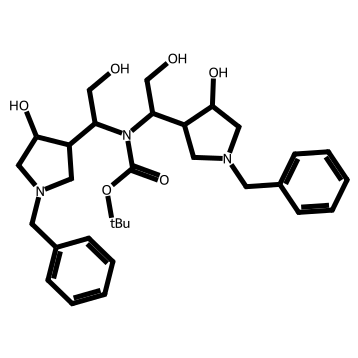 CC(C)(C)OC(=O)N(C(CO)C1CN(Cc2ccccc2)CC1O)C(CO)C1CN(Cc2ccccc2)CC1O